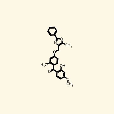 COc1ccc(C(=O)c2ccc(OCc3nc(-c4ccccc4)oc3C)cc2C)c(O)c1